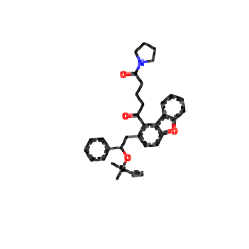 CC(C)(C)[Si](C)(C)OC(Cc1ccc2oc3ccccc3c2c1C(=O)CCCC(=O)N1CCCC1)c1ccccc1